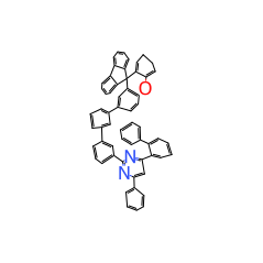 C1=C2Oc3ccc(-c4cccc(-c5cccc(-c6nc(-c7ccccc7)cc(-c7ccccc7-c7ccccc7)n6)c5)c4)cc3C3(C2=CCC1)c1ccccc1-c1ccccc13